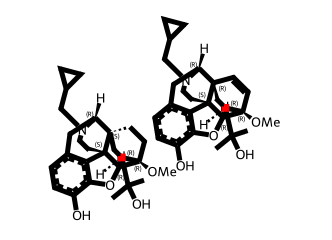 CO[C@]12C=C[C@@]3(C[C@@H]1C(C)(C)O)[C@H]1Cc4ccc(O)c5c4[C@@]3(CCN1CC1CC1)[C@H]2O5.CO[C@]12CC[C@@]3(C[C@@H]1C(C)(C)O)[C@H]1Cc4ccc(O)c5c4[C@@]3(CCN1CC1CC1)[C@H]2O5